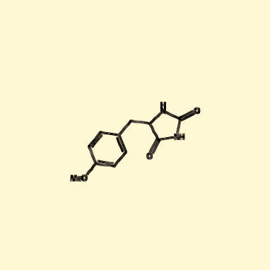 COc1ccc(CC2NC(=O)NC2=O)cc1